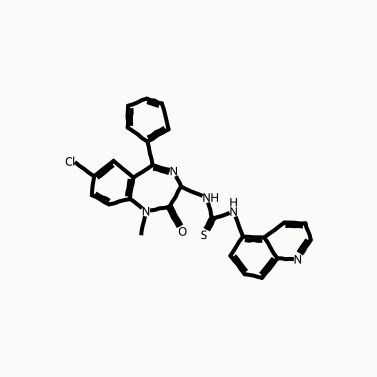 CN1C(=O)C(NC(=S)Nc2cccc3ncccc23)N=C(c2ccccc2)c2cc(Cl)ccc21